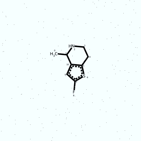 CC1NCCc2sc(F)cc21